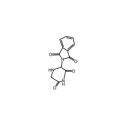 O=C1CNC(N2C(=O)c3ccccc3C2=O)C(=O)N1